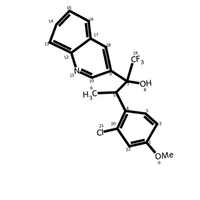 COc1ccc(C(C)C(O)(c2cnc3ccccc3c2)C(F)(F)F)c(Cl)c1